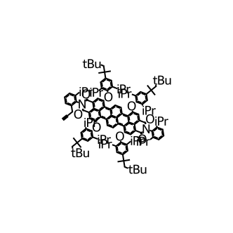 C#CCc1cccc(C(C)C)c1N1C(=O)c2cc(Oc3c(C(C)C)cc(C(C)(C)CC(C)(C)C)cc3C(C)C)c3c4ccc5c6c(Oc7c(C(C)C)cc(C(C)(C)CC(C)(C)C)cc7C(C)C)cc7c8c(cc(Oc9c(C(C)C)cc(C(C)(C)CC(C)(C)C)cc9C(C)C)c(c9ccc(c%10c(Oc%11c(C(C)C)cc(C(C)(C)CC(C)(C)C)cc%11C(C)C)cc(c2c3%10)C1=O)c4c59)c86)C(=O)N(c1c(C(C)C)cccc1C(C)C)C7=O